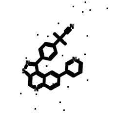 CC(C)(C#N)c1ccc(-c2nsc3cnc4ccc(-c5cccnc5)cc4c23)cc1